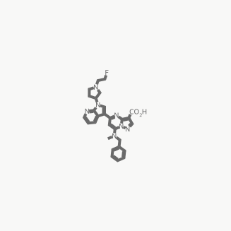 CN(Cc1ccccc1)c1cc(-c2cn(C3CCN(CCF)C3)c3ncccc23)nc2c(C(=O)O)cnn12